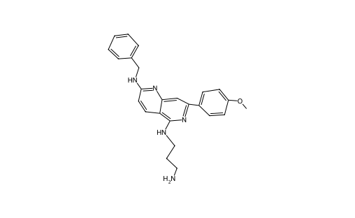 COc1ccc(-c2cc3nc(NCc4ccccc4)ccc3c(NCCCN)n2)cc1